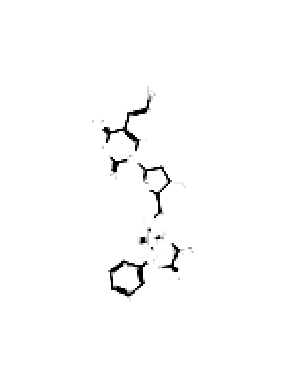 COC(=O)[C@H](C)NP(=O)(OCC1OC(n2cc(/C=C/Br)c(=O)[nH]c2=O)C[C@@H]1O)Oc1ccccc1